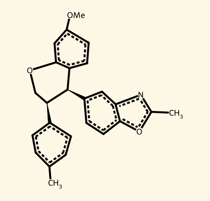 COc1ccc2c(c1)OC[C@H](c1ccc(C)cc1)[C@@H]2c1ccc2oc(C)nc2c1